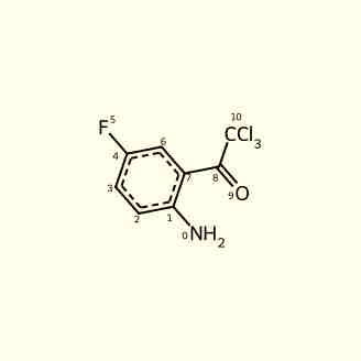 Nc1ccc(F)cc1C(=O)C(Cl)(Cl)Cl